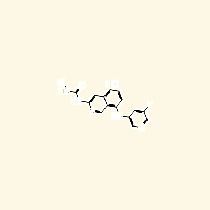 CCNC(=O)Nc1cc2cccc(Nc3cncc(F)c3)c2cn1.Cl